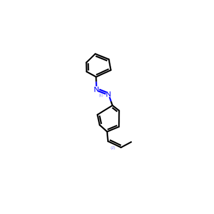 C/C=C\c1ccc(/N=N/c2ccccc2)cc1